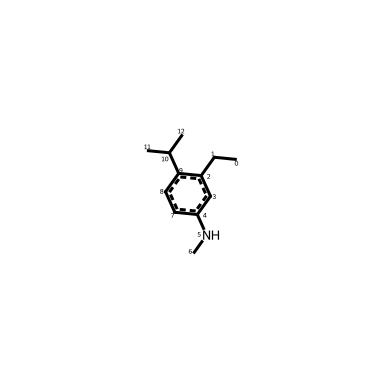 CCc1cc(NC)ccc1C(C)C